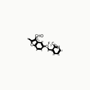 Cc1oc2ccc(OCc3cccnc3C(F)(F)F)cc2c1C=O